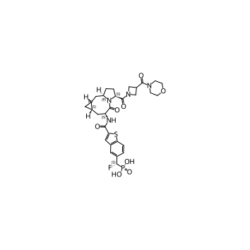 O=C(N[C@H]1C[C@@H]2C[C@@H]2C[C@H]2CC[C@@H](C(=O)N3CC(C(=O)N4CCOCC4)C3)N2C1=O)c1cc2cc([C@@H](F)P(=O)(O)O)ccc2s1